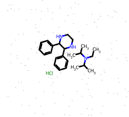 CCN(C(C)C)C(C)C.Cl.c1ccc(C2NCCNC2c2ccccc2)cc1